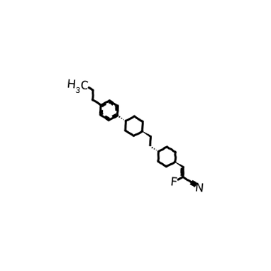 CCCc1ccc([C@H]2CC[C@H](CC[C@H]3CC[C@H](C=C(F)C#N)CC3)CC2)cc1